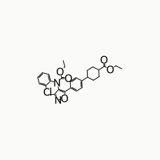 CCOC(=O)C1CCC(c2ccc(-c3onc(C)c3N(C(=O)OCC)c3ccccc3Cl)cc2)CC1